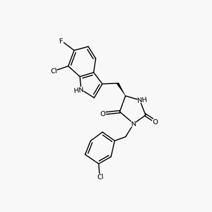 O=C1N[C@H](Cc2c[nH]c3c(Cl)c(F)ccc23)C(=O)N1Cc1cccc(Cl)c1